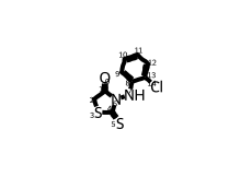 O=C1CSC(=S)N1Nc1ccccc1Cl